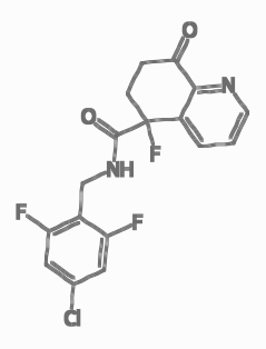 O=C1CCC(F)(C(=O)NCc2c(F)cc(Cl)cc2F)c2cccnc21